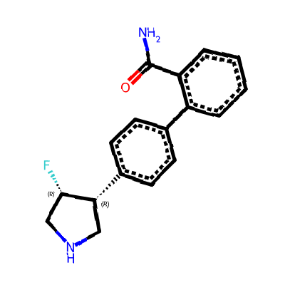 NC(=O)c1ccccc1-c1ccc([C@@H]2CNC[C@@H]2F)cc1